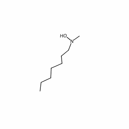 CCCCCCCN(C)O